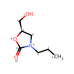 CCCN1C[C@H](CO)OC1=O